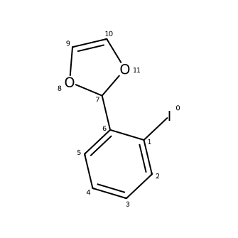 Ic1ccccc1C1OC=CO1